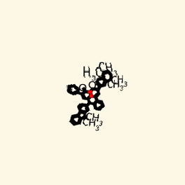 CC1(C)CCC(C)(C)c2cc3c4c(oc3cc21)CCC(c1ccccc1C(c1c#cc2c(c1)C(C)(C)c1ccccc1-2)c1ccc2oc3ccccc3c2c1)=C4